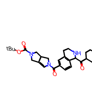 CC(C)(C)OC(=O)N1CC2=CN(C(=O)c3ccc4c(c3)CCNC4C(=O)C3CCCCC3)CC2C1